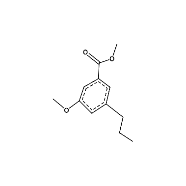 CCCc1cc(OC)cc(C(=O)OC)c1